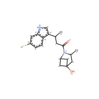 CCC(CC(=O)N1C(CC)CC2(O)CC1C2)c1c[nH]c2cc(F)ccc12